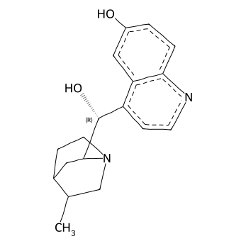 CC1CN2CCC1CC2[C@H](O)c1ccnc2ccc(O)cc12